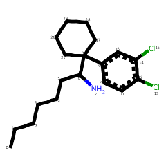 CCCCCCC(N)C1(c2ccc(Cl)c(Cl)c2)CCCCC1